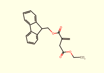 C=C(CC(=O)OCC(Cl)(Cl)Cl)C(=O)OCC1c2ccccc2-c2ccccc21